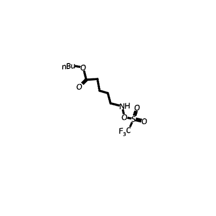 CCCCOC(=O)CCCCNOS(=O)(=O)C(F)(F)F